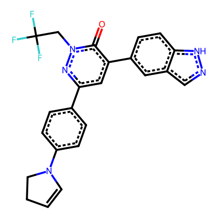 O=c1c(-c2ccc3[nH]ncc3c2)cc(-c2ccc(N3C=CCC3)cc2)nn1CC(F)(F)F